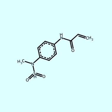 C=CC(=O)Nc1ccc(N(C)[SH](=O)=O)cc1